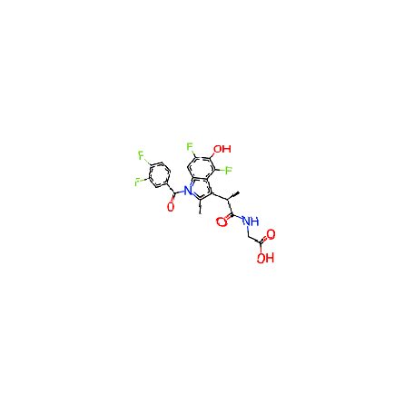 Cc1c([C@@H](C)C(=O)NCC(=O)O)c2c(F)c(O)c(F)cc2n1C(=O)c1ccc(F)c(F)c1